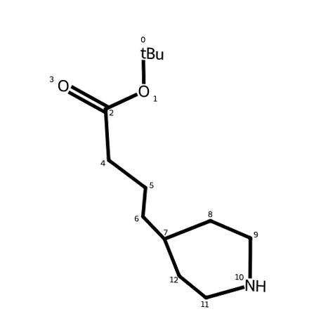 CC(C)(C)OC(=O)CCCC1CCNCC1